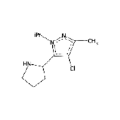 Cc1nn(C(C)C)c(C2CCCN2)c1Cl